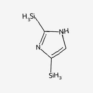 [SiH3]c1c[nH]c([SiH3])n1